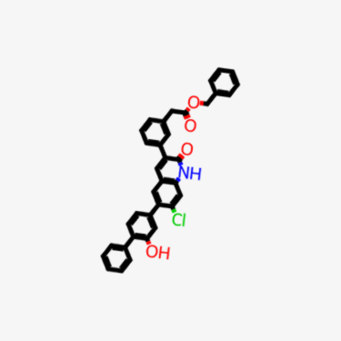 O=C(Cc1cccc(-c2cc3cc(-c4ccc(-c5ccccc5)c(O)c4)c(Cl)cc3[nH]c2=O)c1)OCc1ccccc1